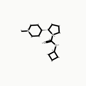 CN1CCC([C@@H]2CCCN2C(=O)OC2CCC2)CC1